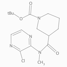 CN(C(=O)C1CCCN(C(=O)OC(C)(C)C)C1)c1nccnc1Cl